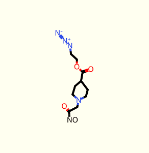 [N-]=[N+]=NCCOC(=O)C1CCN(CC(=O)N=O)CC1